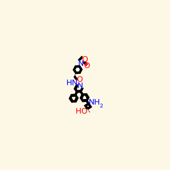 C[C@]1(O)C[C@@](N)(c2ccc(-c3cnc(NC(=O)C[C@H]4CC[C@H](N5CCOC5=O)CC4)cc3-c3ccccc3)cc2)C1